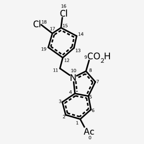 CC(=O)c1ccc2c(c1)cc(C(=O)O)n2Cc1ccc(Cl)c(Cl)c1